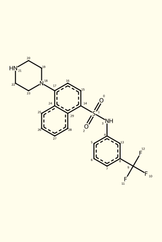 O=S(=O)(Nc1cccc(C(F)(F)F)c1)c1ccc(N2CCNCC2)c2ccccc12